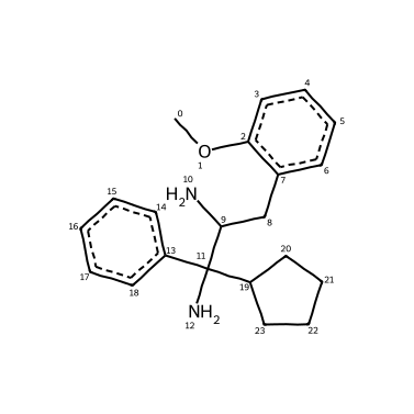 COc1ccccc1CC(N)C(N)(c1ccccc1)C1CCCC1